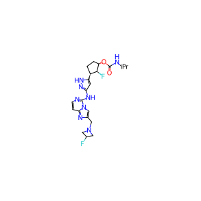 CC(C)NC(=O)O[C@@H]1CC[C@H](c2cc(Nc3nccc4nc(CN5CC(F)C5)cn34)n[nH]2)[C@@H]1F